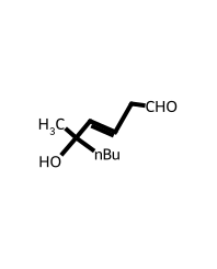 CCCCC(C)(O)/C=C/CC=O